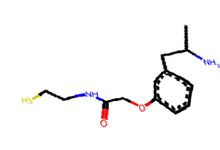 CC(N)Cc1cccc(OCC(=O)NCCS)c1